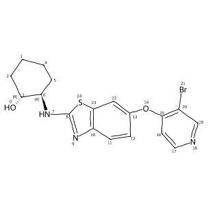 O[C@@H]1CCCC[C@H]1Nc1nc2ccc(Oc3ccncc3Br)cc2s1